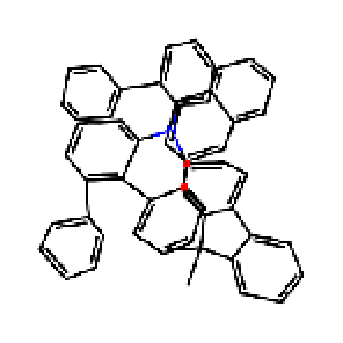 CC1(C)c2ccccc2-c2ccc(N(c3ccccc3-c3ccccc3)c3cccc(-c4ccccc4)c3-c3ccccc3-c3ccc4ccccc4c3)cc21